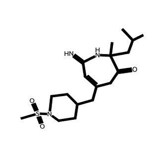 CC(C)CC1(C)NC(=N)C=C(CC2CCN(S(C)(=O)=O)CC2)CC1=O